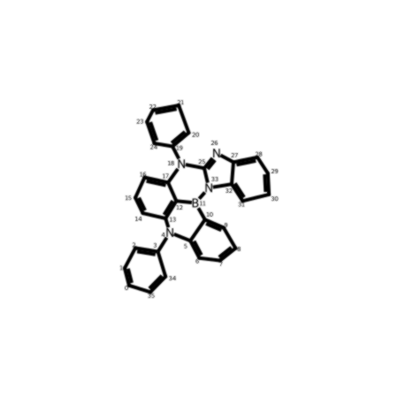 c1ccc(N2c3ccccc3B3c4c2cccc4N(c2ccccc2)c2nc4ccccc4n23)cc1